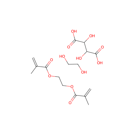 C=C(C)C(=O)OCCOC(=O)C(=C)C.O=C(O)C(O)C(O)C(=O)O.OCCO